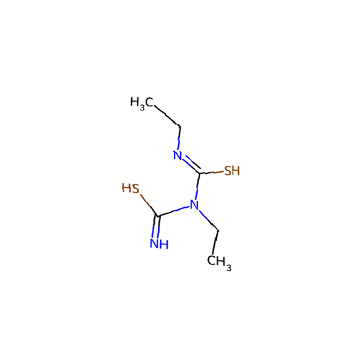 CCN=C(S)N(CC)C(=N)S